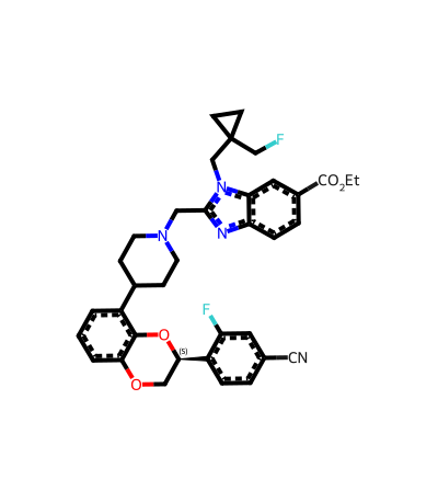 CCOC(=O)c1ccc2nc(CN3CCC(c4cccc5c4O[C@@H](c4ccc(C#N)cc4F)CO5)CC3)n(CC3(CF)CC3)c2c1